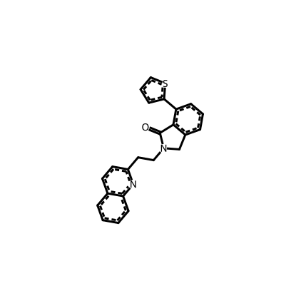 O=C1c2c(cccc2-c2cccs2)CN1CCc1ccc2ccccc2n1